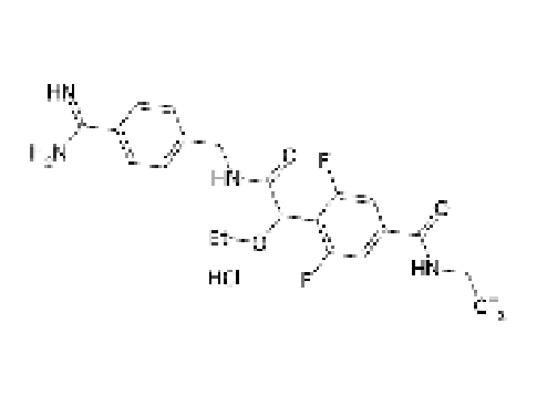 CCOC(C(=O)NCc1ccc(C(=N)N)cc1)c1c(F)cc(C(=O)NCC(F)(F)F)cc1F.Cl